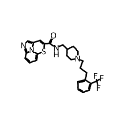 O=C(NCC1CCN(CCCc2ccccc2C(F)(F)F)CC1)C1=Cc2cnc3cccc(n23)S1